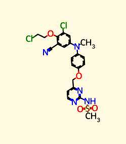 CN(c1ccc(OCc2ccnc(NS(C)(=O)=O)n2)cc1)c1cc(Cl)c(OCCCl)c(C#N)c1